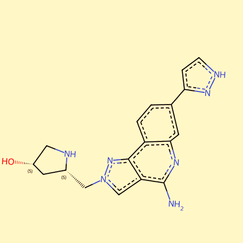 Nc1nc2cc(-c3cc[nH]n3)ccc2c2nn(C[C@@H]3C[C@H](O)CN3)cc12